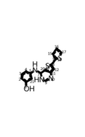 Oc1cccc(NC2NC=Nc3cc(-c4cccs4)sc32)c1